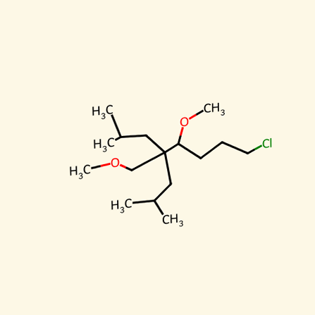 COCC(CC(C)C)(CC(C)C)C(CCCCl)OC